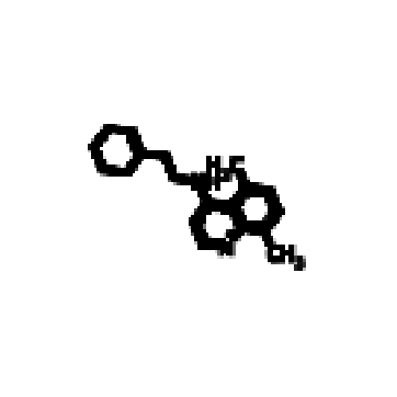 Cc1ccc(C)c2c(NCCC3=CCCCC3)ccnc12